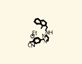 CCOc1cc(-c2nccc(NCCc3ccc4ccccc4c3C)n2)ccc1CC#N